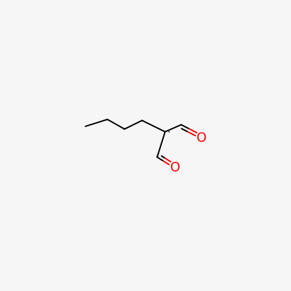 CCCC[C](C=O)C=O